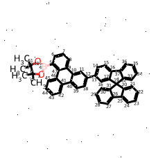 CC1(C)OB(c2cccc3c4cc(-c5ccc6c(c5)C5(c7ccccc7-c7ccccc75)c5ccccc5-6)ccc4c4ccccc4c23)OC1(C)C